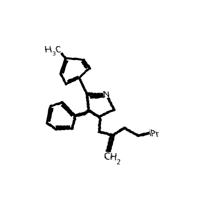 C=C(CCC(C)C)CC1CN=C(c2ccc(C)cc2)C1c1ccccc1